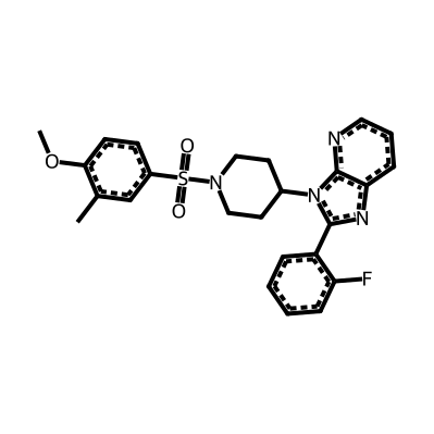 COc1ccc(S(=O)(=O)N2CCC(n3c(-c4ccccc4F)nc4cccnc43)CC2)cc1C